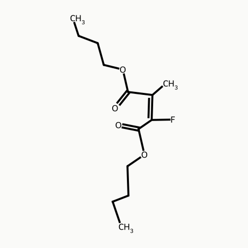 CCCCOC(=O)/C(C)=C(/F)C(=O)OCCCC